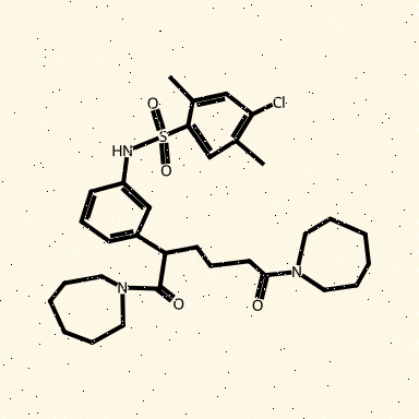 Cc1cc(S(=O)(=O)Nc2cccc(C(CCCC(=O)N3CCCCCC3)C(=O)N3CCCCCC3)c2)c(C)cc1Cl